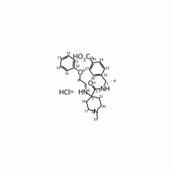 C[C@H](NC(=O)C1(NCCOc2ccccc2)CCN(C)CC1)c1ccc(C(=O)O)cc1.Cl